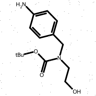 CC(C)(C)OC(=O)N(CCO)Cc1ccc(N)cc1